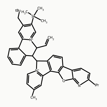 C=CC1C(C2c3ccc4c(oc5nc(C(C)C)ccc54)c3-c3cc(C)cc[n+]32)c2ccccc2-c2cc(CC(C)(C)C)c([Si](C)(C)C)c[n+]21